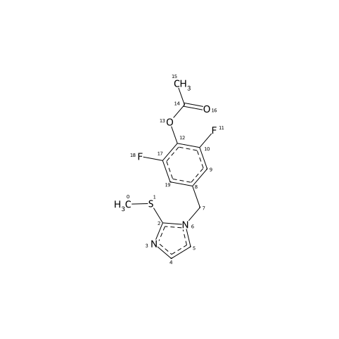 CSc1nccn1Cc1cc(F)c(OC(C)=O)c(F)c1